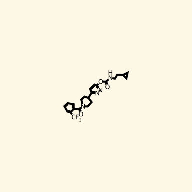 O=C(NCCC1CC1)Oc1ccc(C2CCN(C(=O)c3ccccc3C(F)(F)F)CC2)nn1